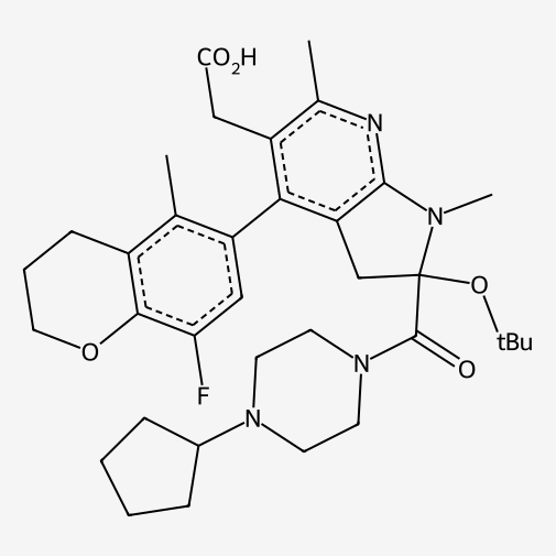 Cc1nc2c(c(-c3cc(F)c4c(c3C)CCCO4)c1CC(=O)O)CC(OC(C)(C)C)(C(=O)N1CCN(C3CCCC3)CC1)N2C